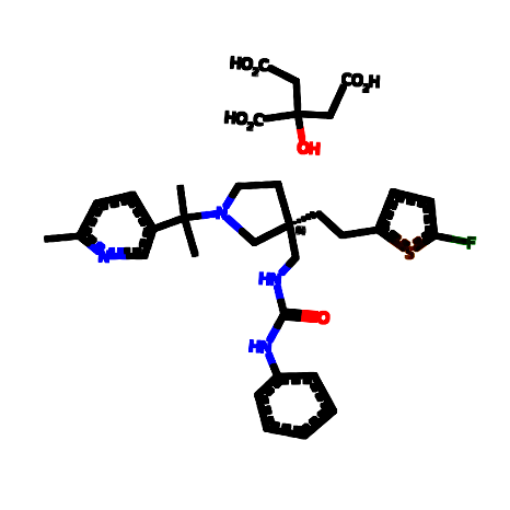 Cc1ccc(C(C)(C)N2CC[C@@](CCc3ccc(F)s3)(CNC(=O)Nc3ccccc3)C2)cn1.O=C(O)CC(O)(CC(=O)O)C(=O)O